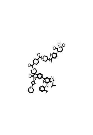 CC(C)n1cnc2cc(-c3ccc4c(c3)N(C3CC(N5CCCCC5)C3)C(=O)C43CCN(C(=O)C4CCC(C(=O)N5CCC(N(C)c6ccc([C@H]7CCC(=O)NC7=O)cn6)CC5)CC4)CC3)nc(Nc3ccccc3F)c21